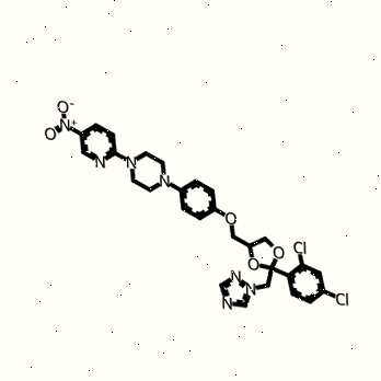 O=[N+]([O-])c1ccc(N2CCN(c3ccc(OCC4COC(Cn5cncn5)(c5ccc(Cl)cc5Cl)O4)cc3)CC2)nc1